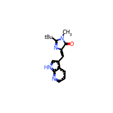 CN1C(=O)/C(=C/c2c[nH]c3ncccc23)N=C1C(C)(C)C